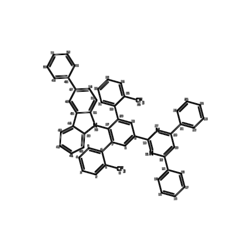 FC(F)(F)c1ccccc1-c1cc(-c2nc(-c3ccccc3)cc(-c3ccccc3)n2)cc(-c2ccccc2C(F)(F)F)c1-n1c2ccccc2c2cc(-c3ccccc3)ccc21